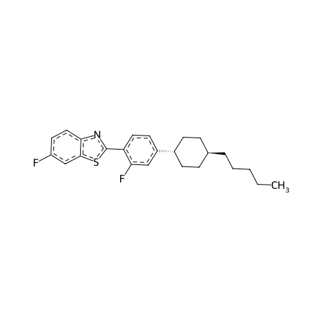 CCCCC[C@H]1CC[C@H](c2ccc(-c3nc4ccc(F)cc4s3)c(F)c2)CC1